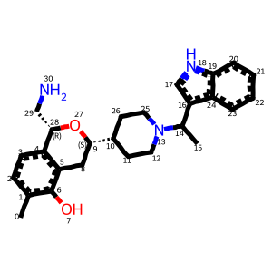 Cc1ccc2c(c1O)C[C@@H](C1CCN(C(C)c3c[nH]c4ccccc34)CC1)O[C@H]2CN